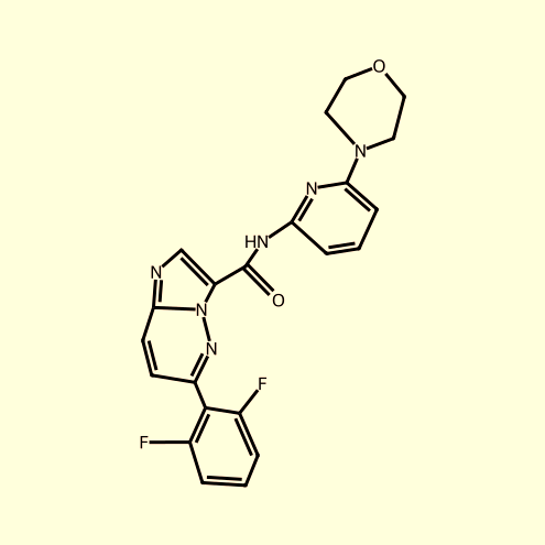 O=C(Nc1cccc(N2CCOCC2)n1)c1cnc2ccc(-c3c(F)cccc3F)nn12